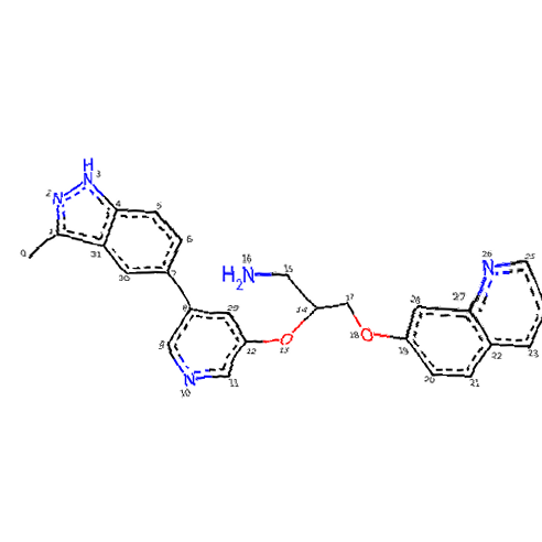 Cc1n[nH]c2ccc(-c3cncc(OC(CN)COc4ccc5cccnc5c4)c3)cc12